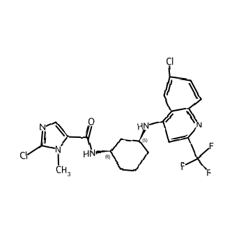 Cn1c(C(=O)N[C@@H]2CCC[C@H](Nc3cc(C(F)(F)F)nc4ccc(Cl)cc34)C2)cnc1Cl